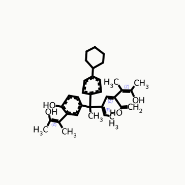 C=C(O)C(=C\C(=C/C)C(C)(c1ccc(C2CCCCC2)cc1)c1ccc(O)c(/C(C)=C(/C)O)c1)/C(C)=C(/C)O